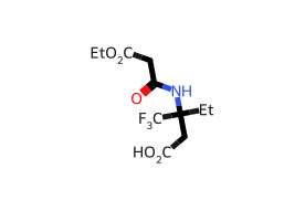 CCOC(=O)CC(=O)NC(CC)(CC(=O)O)C(F)(F)F